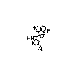 CN(C)/C=C(/C(=O)c1c[nH]c2ncc(CN(C)C)cc12)c1cccc(F)c1F